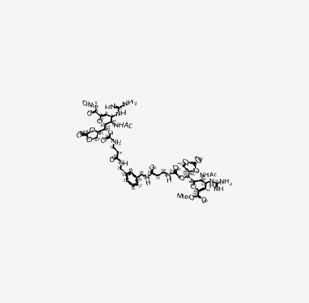 COC(=O)C1=CC(NC(=N)N)[C@@H](NC(C)=O)[C@H]([C@H](OC(=O)NCCC(=O)NCc2cccc(CNC(=O)CCNC(=O)OC([C@H]3COC(=O)O3)[C@@H]3OC(C(=O)OC)=CC(NC(=N)N)[C@H]3NC(C)=O)c2)[C@H]2COC(=O)O2)O1